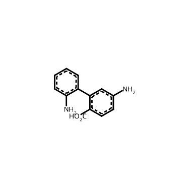 Nc1ccc(C(=O)O)c(-c2ccccc2N)c1